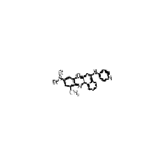 CCN(CC)c1cc(C)c2nc3c4ccccc4/c(=N\c4ccncc4)cc-3oc2c1